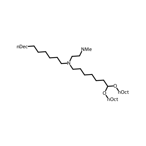 CCCCCCCCCCCCCCCCN(CCCCCCC(OCCCCCCCC)OCCCCCCCC)CCNC